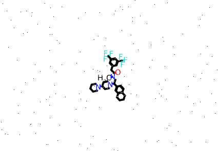 CN(CC(c1ccc2c(c1)CCCC2)N1CCC(N2CCCCC2)CC1)C(=O)Cc1cc(C(F)(F)F)cc(C(F)(F)F)c1